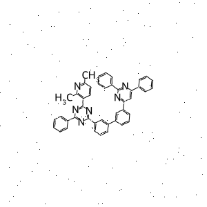 Cc1ccc(-c2nc(-c3ccccc3)nc(-c3cccc(-c4cccc(-c5cc(-c6ccccc6)nc(-c6ccccc6)n5)c4)c3)n2)c(C)n1